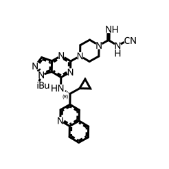 CCC(C)n1ncc2nc(N3CCN(C(=N)NC#N)CC3)nc(N[C@@H](c3cnc4ccccc4c3)C3CC3)c21